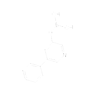 OB(O)Oc1cncc(-c2ccccc2)c1